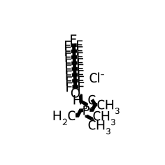 C=CC[P+](CCCOC(F)(F)C(F)(F)C(F)(F)C(F)(F)C(F)(F)C(F)(F)C(F)(F)C(F)(F)F)(CC(C)C)CC(C)C.[Cl-]